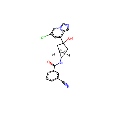 N#Cc1cccc(C(=O)NC2[C@H]3CC(O)(c4cc(Cl)cn5cncc45)C[C@@H]23)c1